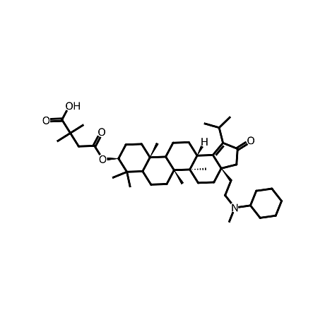 CC(C)C1=C2[C@H]3CCC4[C@@]5(C)CC[C@H](OC(=O)CC(C)(C)C(=O)O)C(C)(C)C5CC[C@@]4(C)[C@]3(C)CC[C@@]2(CCN(C)C2CCCCC2)CC1=O